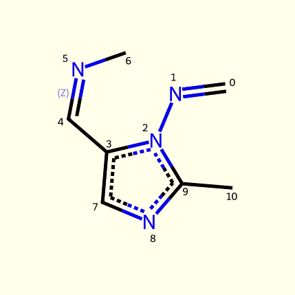 C=Nn1c(/C=N\C)cnc1C